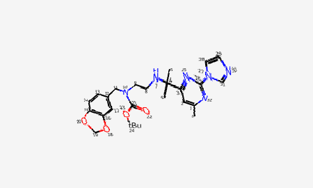 Cc1cc(C(C)(C)NCCN(Cc2ccc3c(c2)OCO3)C(=O)OC(C)(C)C)nc(-n2ccnc2)n1